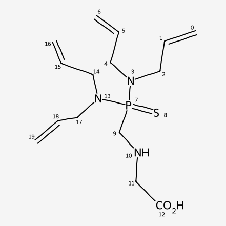 C=CCN(CC=C)P(=S)(CNCC(=O)O)N(CC=C)CC=C